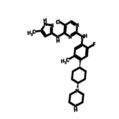 Cc1cc(Nc2nc(Nc3cc(C)c([C@H]4CC[C@@H](N5CCNCC5)CC4)cc3F)ncc2Cl)n[nH]1